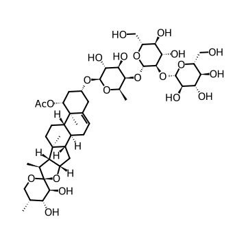 CC(=O)O[C@@H]1C[C@H](O[C@@H]2O[C@H](C)[C@H](O[C@@H]3O[C@H](CO)[C@@H](O)[C@H](O)[C@H]3O[C@@H]3O[C@H](CO)[C@@H](O)[C@H](O)[C@H]3O)[C@H](O)[C@H]2O)CC2=CC[C@H]3[C@@H]4C[C@@H]5O[C@@]6(OC[C@@H](C)[C@@H](O)[C@@H]6O)[C@@H](C)[C@@H]5[C@@]4(C)CC[C@@H]3[C@]21C